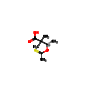 CC(=S)O[C@@H](C)C(C)(C)C(=O)O